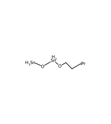 CC(C)CC[O][SnH2][O][SnH3]